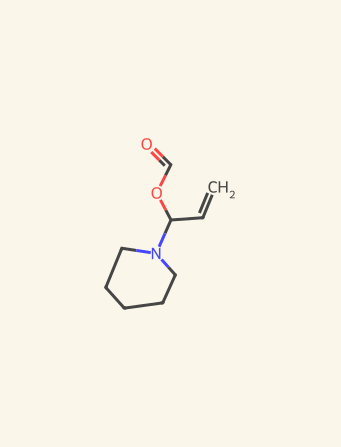 C=CC(OC=O)N1CCCCC1